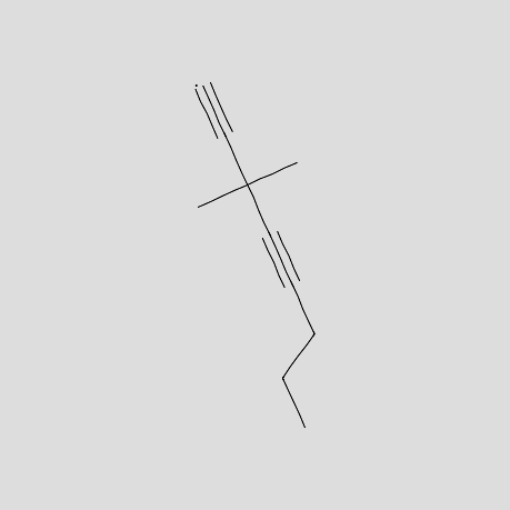 [C]#CC(C)(C)C#CCCC